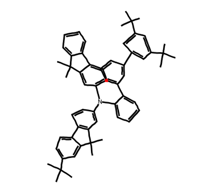 CC(C)(C)c1cc(-c2cccc(-c3ccccc3N(c3ccc4c(c3)C(C)(C)c3ccccc3-4)c3ccc4c(c3)C(C)(C)c3cc(C(C)(C)C)ccc3-4)c2)cc(C(C)(C)C)c1